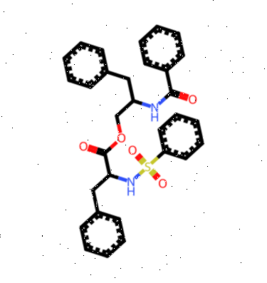 O=C(NC(COC(=O)C(Cc1ccccc1)NS(=O)(=O)c1ccccc1)Cc1ccccc1)c1ccccc1